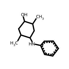 CC1CC(Nc2ccccc2)C(C)CC1O